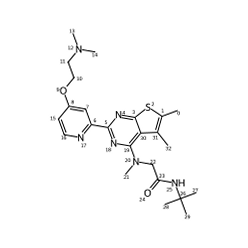 Cc1sc2nc(-c3cc(OCCN(C)C)ccn3)nc(N(C)CC(=O)NC(C)(C)C)c2c1C